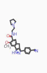 COc1cc2c(cc1C(=O)NCCN1CCCC1)Cc1c(-c3ccc(C#N)cc3)n[nH]c1-2